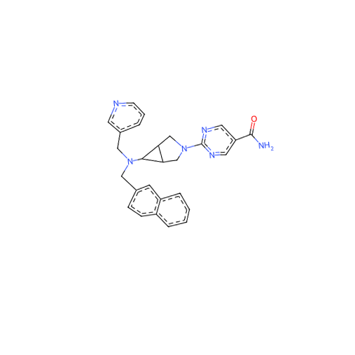 NC(=O)c1cnc(N2CC3C(C2)C3N(Cc2cccnc2)Cc2ccc3ccccc3c2)nc1